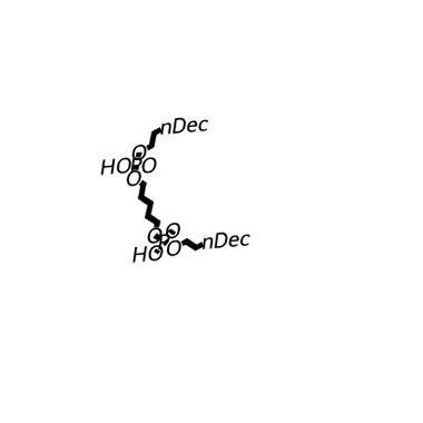 CCCCCCCCCCCCOP(=O)(O)OCCCCCOP(=O)(O)OCCCCCCCCCCCC